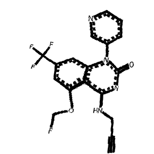 C#CCNc1nc(=O)n(-c2cccnc2)c2cc(C(F)(F)F)cc(OCF)c12